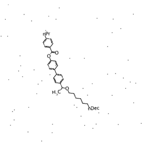 CCCCCCCCCCCCCCCCOC(C)c1ccc(-c2ccc(OC(=O)c3ccc(CCC)cc3)cc2)cc1